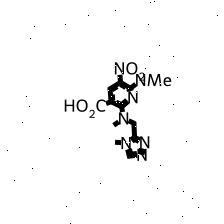 CNc1nc(N(C)Cc2nncn2C)c(C(=O)O)cc1[N+](=O)[O-]